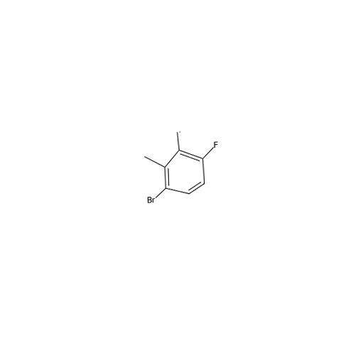 [CH2]c1c(F)ccc(Br)c1C